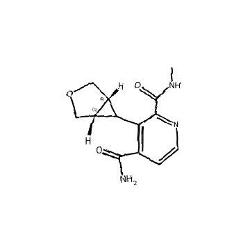 CNC(=O)c1nccc(C(N)=O)c1C1[C@H]2COC[C@@H]12